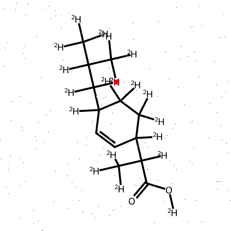 [2H]OC(=O)C([2H])(C([2H])([2H])[2H])C1([2H])C=CC([2H])(C([2H])([2H])C([2H])(C([2H])([2H])[2H])C([2H])([2H])[2H])C([2H])([2H])C1([2H])[2H]